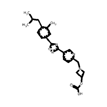 Cc1cc(-c2nc(-c3ccc(CN4CC(OC(=O)O)C4)nc3)no2)ccc1CC(C)C